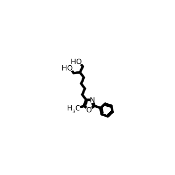 Cc1oc(-c2ccccc2)nc1CCCCC(CO)CO